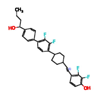 CCCC(O)c1ccc(-c2ccc(C3CCC(/C=C/c4ccc(O)c(F)c4F)CC3)c(F)c2F)cc1